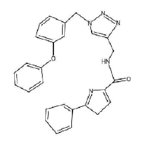 O=C(NCc1cn(Cc2cccc(Oc3ccccc3)c2)nn1)C1=CCC(c2ccccc2)=N1